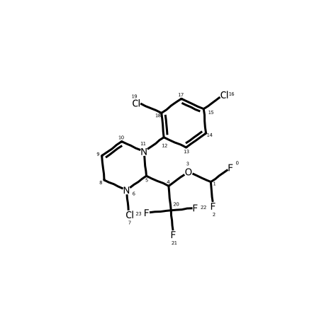 FC(F)OC(C1N(Cl)CC=CN1c1ccc(Cl)cc1Cl)C(F)(F)F